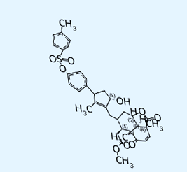 COC(=O)C[C@H]1C(CC2=C(C)C(c3ccc(OS(=O)(=O)c4ccc(C)cc4)cc3)C[C@@H]2O)C[C@@H]2OC(=O)[C@]3(C)C=CC(=O)[C@@]1(C)[C@@H]23